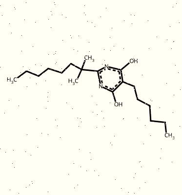 CCCCCCc1c(O)nc(C(C)(C)CCCCCC)nc1O